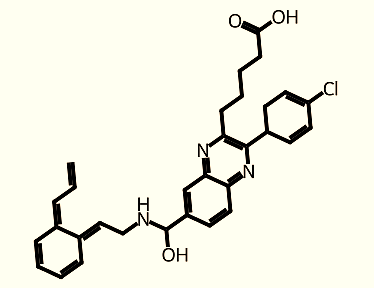 C=C/C=c1/cccc/c1=C\CNC(O)c1ccc2nc(C3C=CC(Cl)=CC3)c(CCCCC(=O)O)nc2c1